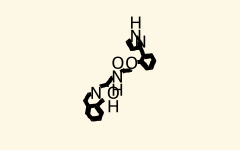 O=C(COc1ccccc1-c1cc[nH]n1)NC[C@H](O)CN1CCc2ccccc2C1